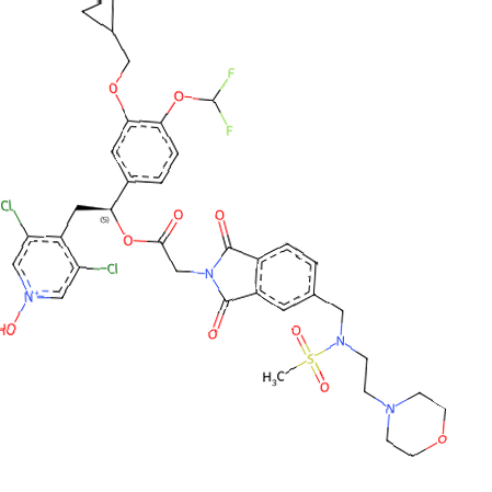 CS(=O)(=O)N(CCN1CCOCC1)Cc1ccc2c(c1)C(=O)N(CC(=O)O[C@@H](Cc1c(Cl)c[n+](O)cc1Cl)c1ccc(OC(F)F)c(OCC3CC3)c1)C2=O